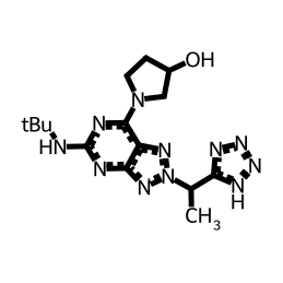 CC(c1nnn[nH]1)n1nc2nc(NC(C)(C)C)nc(N3CCC(O)C3)c2n1